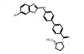 CC(C)c1ccc2nc(Nc3ccc(-c4ccc(C(=O)[C@@H]5CCC[C@H]5C(=O)O)cc4)cc3)sc2c1